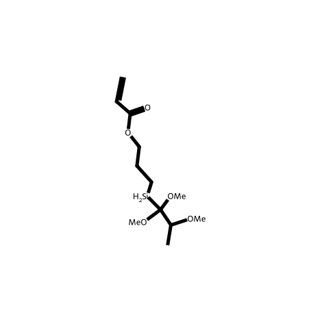 C=CC(=O)OCCC[SiH2]C(OC)(OC)C(C)OC